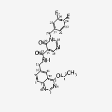 CCOc1ncnc2ccc(CNC(=O)c3cncn(Cc4ccc(F)c(F)c4)c3=O)cc12